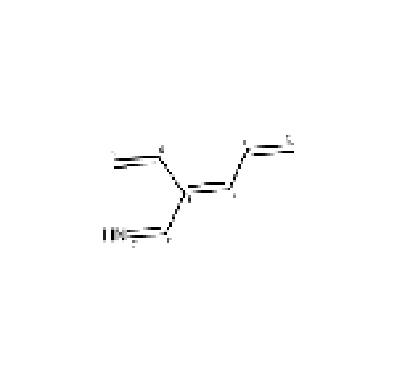 C=C/C=C(\C=C)C=N